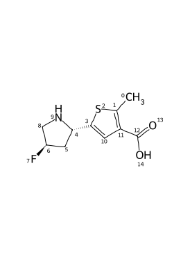 Cc1sc([C@@H]2C[C@@H](F)CN2)cc1C(=O)O